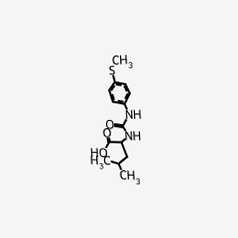 CSc1ccc(NC(=O)NC(CC(C)C)C(=O)O)cc1